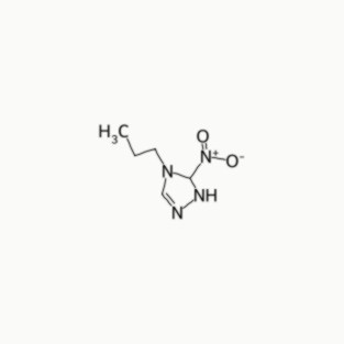 CCCN1C=NNC1[N+](=O)[O-]